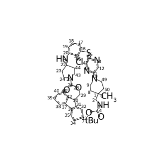 CC1(CNC(=O)OC(C)(C)C)CCN(c2cnc(Sc3cccc(NC4CCN(C(=O)OCC5c6ccccc6-c6ccccc65)CC4)c3Cl)cn2)CC1